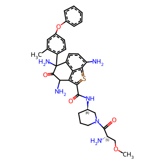 COC[C@H](N)C(=O)N1CCC[C@@H](NC(=O)c2sc3c(N)ccc4c3c2C(N)C(=O)C4(N)c2ccc(Oc3ccccc3)cc2C)C1